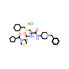 Cl.O=C(NC1CCN(Cc2ccccc2)CC1)[C@H](CSCC1CCCCC1)NC(=O)[C@@H]1CSCN1C(=O)C1CCCC1